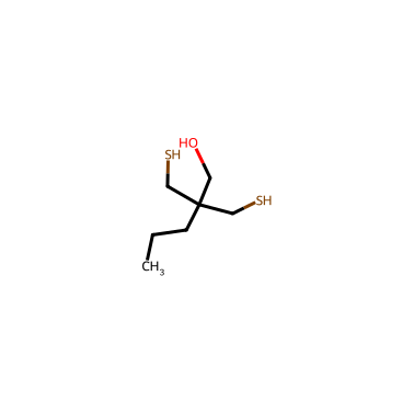 CCCC(CO)(CS)CS